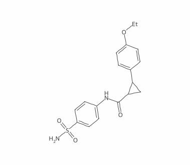 CCOc1ccc(C2CC2C(=O)Nc2ccc(S(N)(=O)=O)cc2)cc1